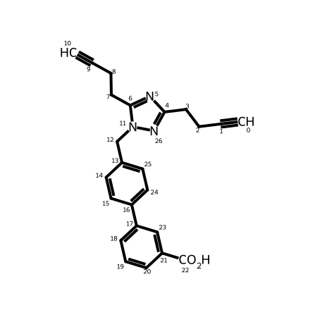 C#CCCc1nc(CCC#C)n(Cc2ccc(-c3cccc(C(=O)O)c3)cc2)n1